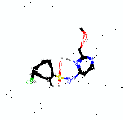 COCc1nccc(NS(=O)(=O)c2cccc(Cl)c2C)n1